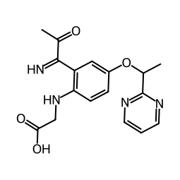 CC(=O)C(=N)c1cc(OC(C)c2ncccn2)ccc1NCC(=O)O